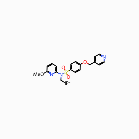 COc1cccc(N(CC(C)C)S(=O)(=O)c2ccc(OCc3ccncc3)cc2)n1